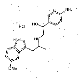 COc1ccc2[nH]cc(CC(C)NCC(O)c3ccc(N)nc3)c2c1.Cl.Cl